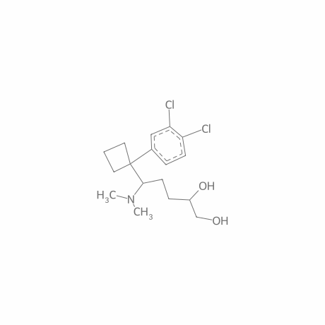 CN(C)C(CCC(O)CO)C1(c2ccc(Cl)c(Cl)c2)CCC1